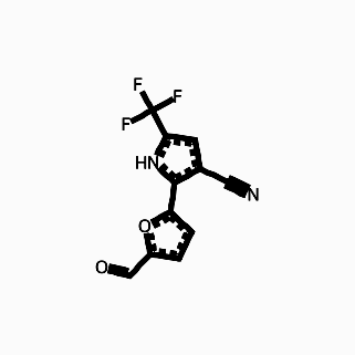 N#Cc1cc(C(F)(F)F)[nH]c1-c1ccc(C=O)o1